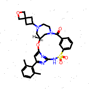 Cc1cccc(C)c1-c1cc2nc(n1)NS(=O)(=O)c1cccc(c1)C(=O)N1CCN(C3CC4(COC4)C3)C[C@H](C1)O2